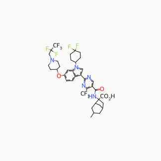 CC1CC2CC(C1)C(NC(=O)c1cnc(-c3cn(C4CCC(F)(F)CC4)c4cc(OC5CCN(CC(F)(F)C(F)(F)F)CC5)ccc34)nc1C(F)(F)F)(C(=O)O)C2